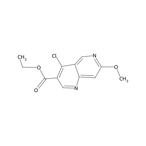 CCOC(=O)c1cnc2cc(OC)ncc2c1Cl